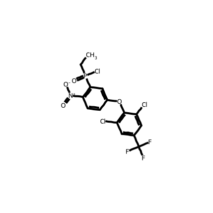 CCP(=O)(Cl)c1cc(Oc2c(Cl)cc(C(F)(F)F)cc2Cl)ccc1[N+](=O)[O-]